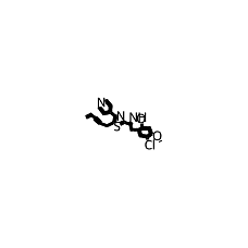 C=CC#CCc1sc(C(=N)Cc2cc(Cl)c(OC)cc2OC)nc1-c1ccncc1